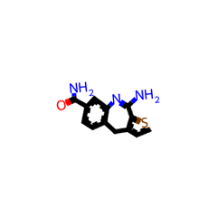 NC(=O)c1ccc2c(c1)N=C(N)c1sccc1C2